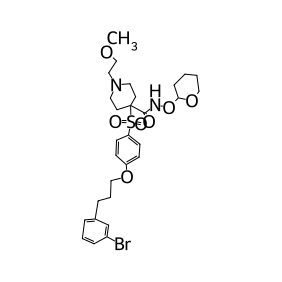 COCCN1CCC(C(=O)NOC2CCCCO2)(S(=O)(=O)c2ccc(OCCCc3cccc(Br)c3)cc2)CC1